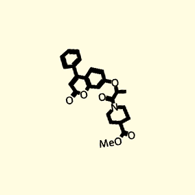 COC(=O)C1CCN(C(=O)C(C)Oc2ccc3c(-c4ccccc4)cc(=O)oc3c2)CC1